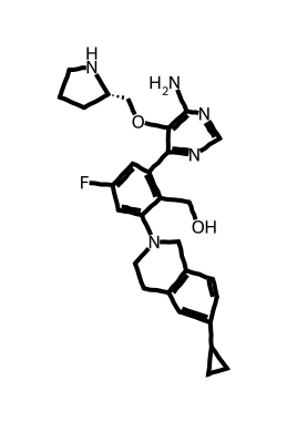 Nc1ncnc(-c2cc(F)cc(N3CCc4cc(C5CC5)ccc4C3)c2CO)c1OC[C@@H]1CCCN1